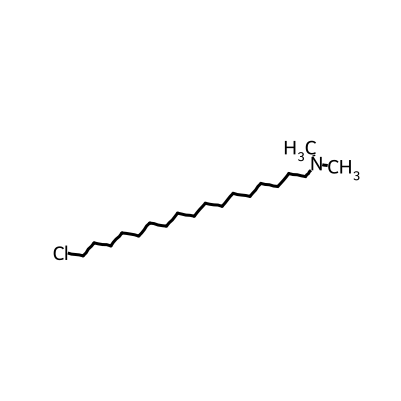 CN(C)CCCCCCCCCCCCCCCCCCl